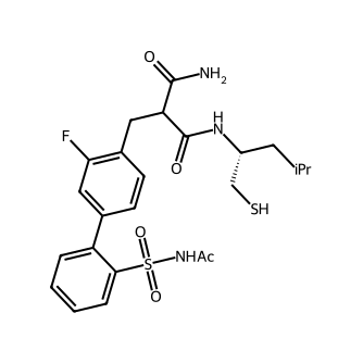 CC(=O)NS(=O)(=O)c1ccccc1-c1ccc(CC(C(N)=O)C(=O)N[C@@H](CS)CC(C)C)c(F)c1